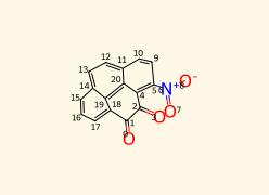 O=c1c(=O)c2c([N+](=O)[O-])ccc3ccc4cccc1c4c32